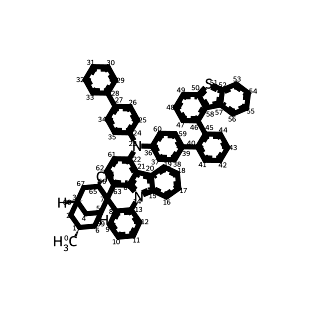 C[C@@H]1C[C@H]2C[C@H](C1)C1(c3ccccc3-n3c4ccccc4c4c(N(c5ccc(-c6ccccc6)cc5)c5ccc(-c6ccccc6-c6cccc7sc8ccccc8c67)cc5)ccc1c43)[C@H](C)C2